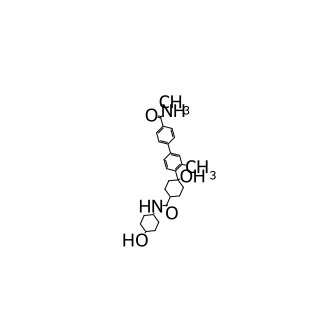 CNC(=O)c1ccc(-c2ccc(C3(O)CCC(C(=O)NC4CCC(O)CC4)CC3)c(C)c2)cc1